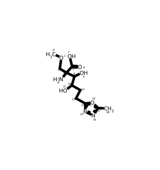 COCC(N)(C(=O)O)C(O)C(O)CCc1nnc(C)o1